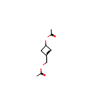 CCC(=O)OC1C=C(COC(=O)C(C)(C)C)C1